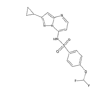 O=S(=O)(Nc1ccnc2cc(C3CC3)nn12)c1ccc(OC(F)F)cc1